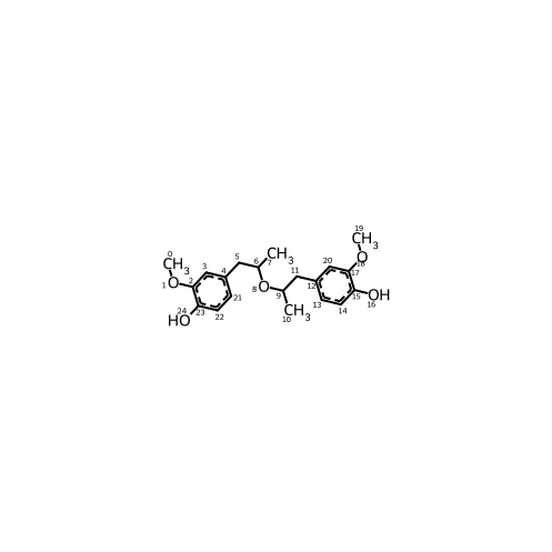 COc1cc(CC(C)OC(C)Cc2ccc(O)c(OC)c2)ccc1O